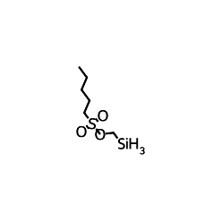 CCCCCS(=O)(=O)OC[SiH3]